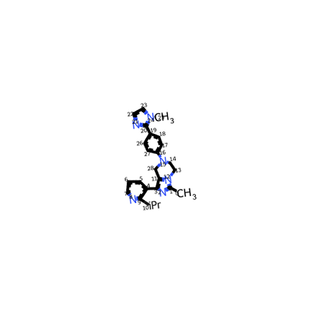 Cc1nc(-c2cccnc2C(C)C)c2n1CCN(c1ccc(-c3nccn3C)cc1)C2